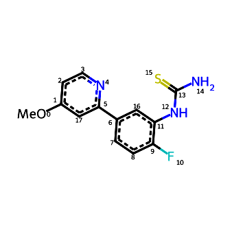 COc1ccnc(-c2ccc(F)c(NC(N)=S)c2)c1